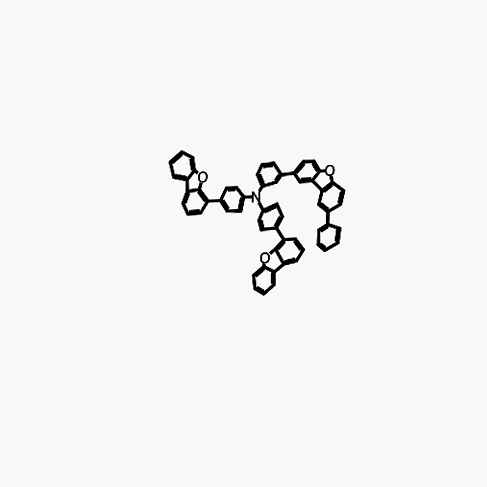 c1ccc(-c2ccc3oc4ccc(-c5cccc(N(c6ccc(-c7cccc8c7oc7ccccc78)cc6)c6ccc(-c7cccc8c7oc7ccccc78)cc6)c5)cc4c3c2)cc1